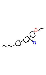 CCCCCC1CCC(C2CCC(C#N)(C3CCC(OCCC)CC3)CC2)CC1